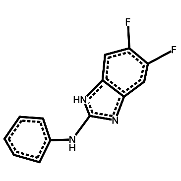 Fc1cc2nc(Nc3ccccc3)[nH]c2cc1F